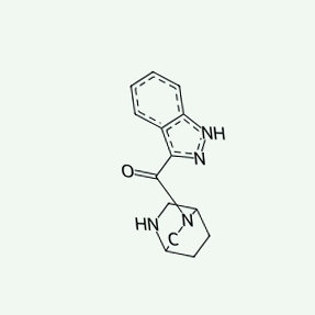 O=C(c1n[nH]c2ccccc12)N1CC2CCC1CN2